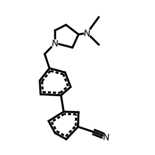 CN(C)C1CCN(Cc2ccc(-c3cccc(C#N)c3)cc2)C1